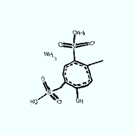 Cc1cc(O)c(S(=O)(=O)O)cc1S(=O)(=O)O.N